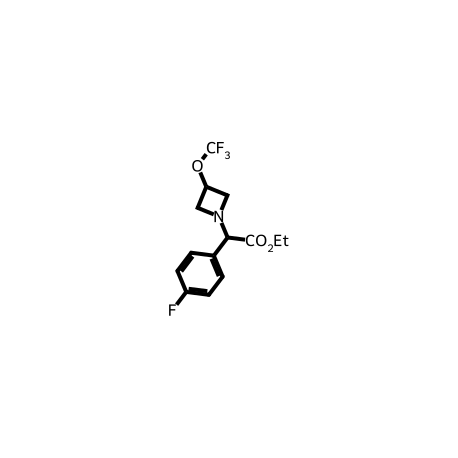 CCOC(=O)C(c1ccc(F)cc1)N1CC(OC(F)(F)F)C1